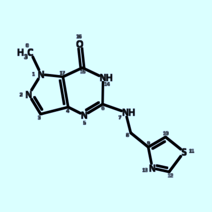 Cn1ncc2nc(NCc3cscn3)[nH]c(=O)c21